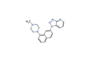 CN1CCN(c2cccc3ccc(-n4nnc5ncccc54)cc23)CC1